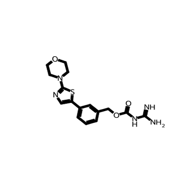 N=C(N)NC(=O)OCc1cccc(-c2cnc(N3CCOCC3)s2)c1